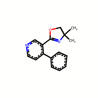 CC1(C)COC(c2cnccc2-c2ccccc2)=N1